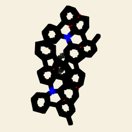 Cc1cccc(-c2ccccc2N(c2ccc3c(c2)C(C(C)(C)C)(C2(C(C)(C)C)c4ccccc4-c4ccc(N(c5ccccc5-c5ccccc5C)c5ccccc5-c5ccccc5C)cc42)c2ccccc2-3)c2ccccc2-c2ccccc2)c1